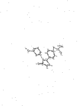 COc1cccc(-c2c(-c3ccc(CS(=O)O)cc3)ssc2=S)c1